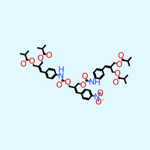 CC(C)C(=O)OCC(=Cc1ccc(NC(=O)OCC(=Cc2ccc([N+](=O)[O-])cc2)COC(=O)Nc2ccc(C=C(COC(=O)C(C)C)COC(=O)C(C)C)cc2)cc1)COC(=O)C(C)C